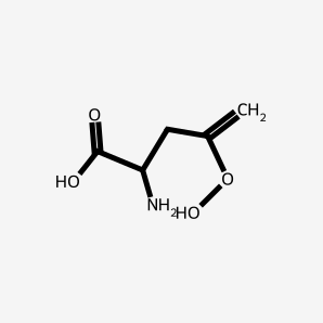 C=C(CC(N)C(=O)O)OO